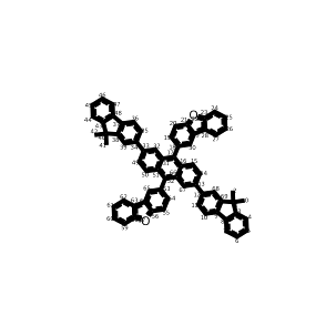 CC1(C)c2ccccc2-c2ccc(-c3ccc4c(-c5ccc6oc7ccccc7c6c5)c5cc(-c6ccc7c(c6)C(C)(C)c6ccccc6-7)ccc5c(-c5ccc6oc7ccccc7c6c5)c4c3)cc21